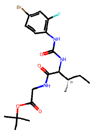 CC[C@H](C)C(NC(=O)Nc1ccc(Br)cc1F)C(=O)NCC(=O)OC(C)(C)C